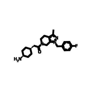 Cc1nn(Cc2ccc(F)cc2)c2c1CCN(C(=O)C[C@H]1CC[C@@H](N)CC1)C2